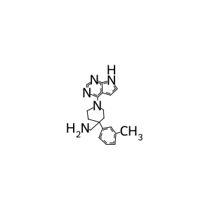 Cc1cccc(C2(CN)CCN(c3ncnc4[nH]ccc34)CC2)c1